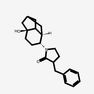 O=C1C(Cc2ccccc2)CCN1[C@@H]1CC[C@]2(O)CC3CC2[C@H]1C3